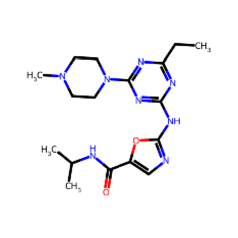 CCc1nc(Nc2ncc(C(=O)NC(C)C)o2)nc(N2CCN(C)CC2)n1